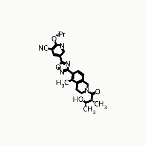 Cc1c(-c2noc(-c3cnc(OC(C)C)c(C#N)c3)n2)ccc2c1CCN(C(=O)[C@@H](C)[C@@H](C)O)C2